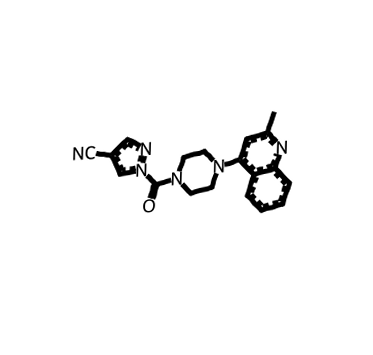 Cc1cc(N2CCN(C(=O)n3cc(C#N)cn3)CC2)c2ccccc2n1